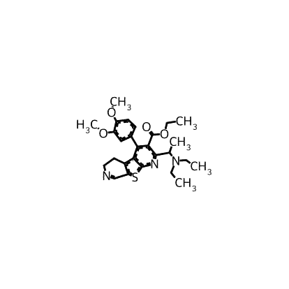 CCOC(=O)c1c(C(C)N(CC)CC)nc2sc3c(c2c1-c1ccc(OC)c(OC)c1)CCN=C3